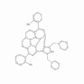 CC(C)(C)c1ccccc1-c1cc2c3c(Cc4ccccc4)[nH]c(Cc4ccccc4)c3c3cc(-c4ccccc4C(C)(C)C)c4ccc5ccc1c1c5c4c3c21